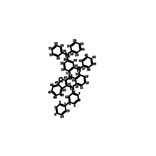 c1ccc(-c2cccc(N3c4cccc5c4N(c4ccc(N(c6ccccc6)c6ccccc6)cc4N5c4ccccc4)c4oc5ccccc5c43)c2)cc1